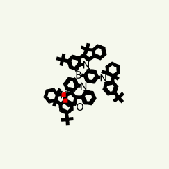 CC(C)(C)C1=CC2C(CC1)N(c1ccc3c(c1)N(c1cccc4c1C1CC=CC=C1O4)c1cc(N4c5ccc(C(C)(C)C)cc5C5(C)CCCCC45C)cc4c1B3c1cc(C(C)(C)C)cc3c5c(n-4c13)C1=CC=CCC1C5(C)C)C1(C)CCCCC21C